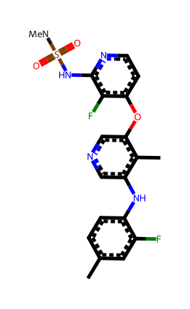 CNS(=O)(=O)Nc1nccc(Oc2cncc(Nc3ccc(C)cc3F)c2C)c1F